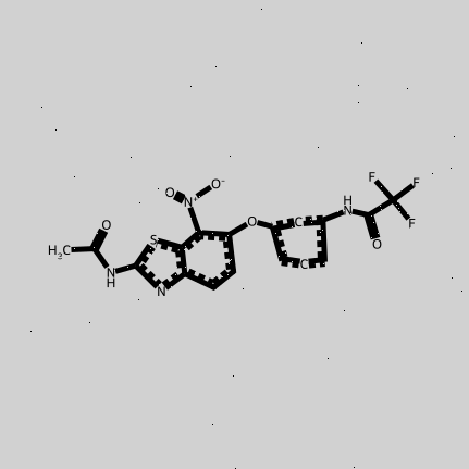 CC(=O)Nc1nc2ccc(Oc3cccc(NC(=O)C(F)(F)F)c3)c([N+](=O)[O-])c2s1